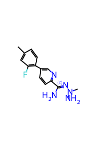 Cc1ccc(-c2ccc(/C(N)=N/N(C)N)nc2)c(F)c1